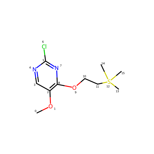 COc1cnc(Cl)nc1OCCS(C)(C)C